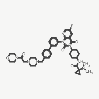 CN(C)C1(C(=O)NC2CCC(n3c(=O)c4cc(F)cnc4n(-c4cccc(-c5ccc(CN6CCN(CC(=O)N7CCOCC7)CC6)cc5)c4)c3=O)CC2)CC1